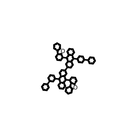 c1ccc(-c2ccc(-c3c4ccccc4c(-c4cccc5c4oc4ccccc45)c4cc(-c5ccc6c(-c7cccc(-c8ccccc8)c7)c7ccccc7c(-c7cccc8oc9ccccc9c78)c6c5)ccc34)cc2)cc1